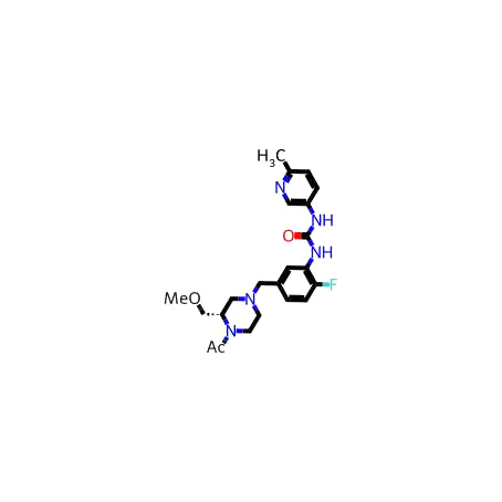 COC[C@@H]1CN(Cc2ccc(F)c(NC(=O)Nc3ccc(C)nc3)c2)CCN1C(C)=O